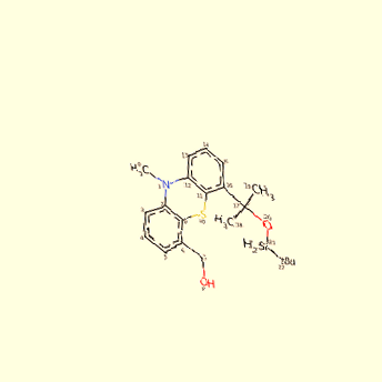 CN1c2cccc(CO)c2Sc2c1cccc2C(C)(C)O[SiH2]C(C)(C)C